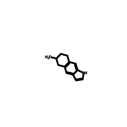 CC1CCc2cc3[nH]ccc3cc2C1